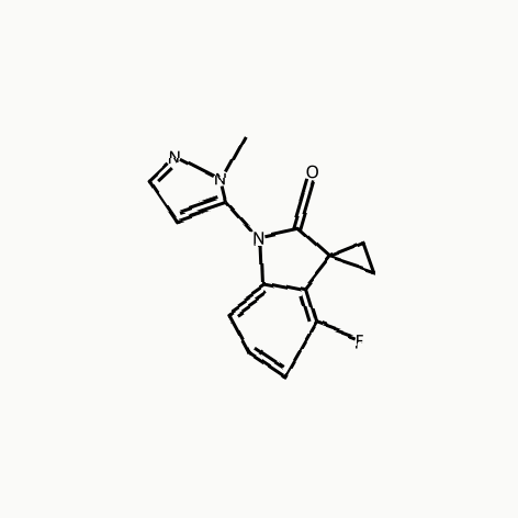 Cn1nccc1N1C(=O)C2(CC2)c2c(F)cccc21